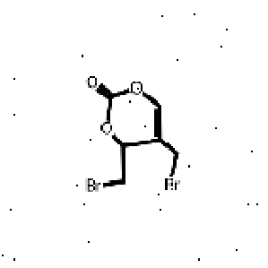 O=C1OC=C(CBr)C(CBr)O1